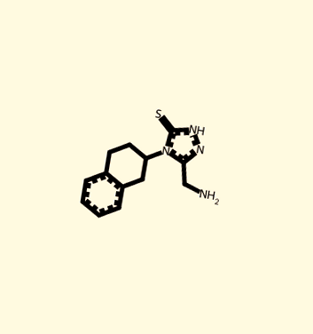 NCc1n[nH]c(=S)n1C1CCc2ccccc2C1